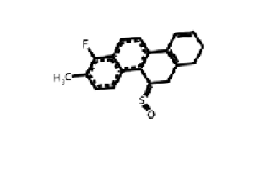 Cc1ccc2c3c(ccc2c1F)C1=C(CCC=C1)CC3=S=O